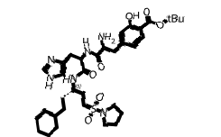 CC(C)(C)OC(=O)c1ccc(CC(N)C(=O)NC(Cc2c[nH]cn2)C(=O)N[C@@H](CCC2CCCCC2)CCS(=O)(=O)N2CCCC2)cc1O